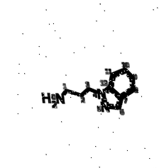 NCCCn1ncc2ccccc21